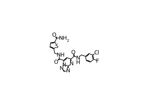 NC(=O)c1ccc(CNC(=O)c2cc(C(=O)NCc3ccc(F)c(Cl)c3)nc3ncnn23)s1